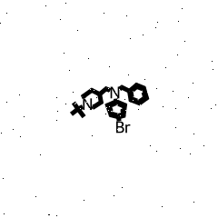 CC(C)(C)N1CCC(CN(Cc2ccccc2)c2ccc(Br)cc2)CC1